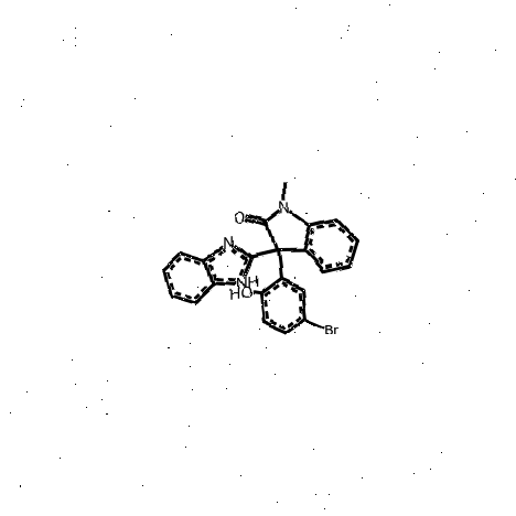 CN1C(=O)C(c2nc3ccccc3[nH]2)(c2cc(Br)ccc2O)c2ccccc21